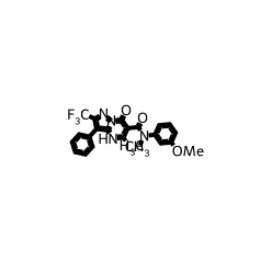 COc1cccc(N(C)C(=O)c2c(C)[nH]c3c(-c4ccccc4)c(C(F)(F)F)nn3c2=O)c1